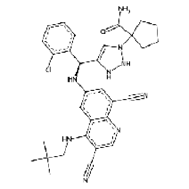 CC(C)(C)CNc1c(C#N)cnc2c(C#N)cc(N[C@H](C3=CN(C4(C(N)=O)CCCC4)NN3)c3ccccc3Cl)cc12